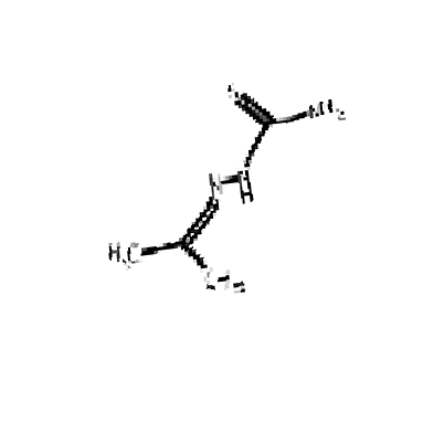 CC(C)=NNC(N)=S